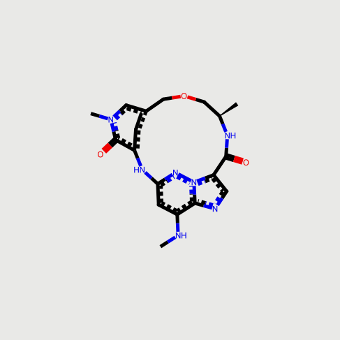 CNc1cc2nn3c(cnc13)C(=O)N[C@H](C)COCc1cc(c(=O)n(C)c1)N2